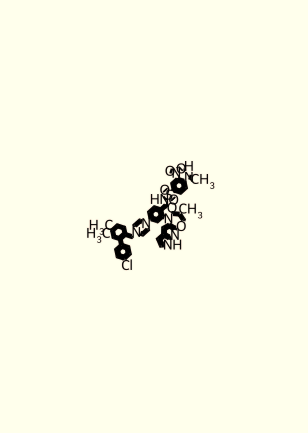 CNc1ccc(S(=O)(=O)NC(=O)c2ccc(N3CCN(CC4=C(c5ccc(Cl)cc5)CC(C)(C)CC4)CC3)cc2N2CC(C)COc3nc4[nH]ccc4cc32)cc1[N+](=O)[O-]